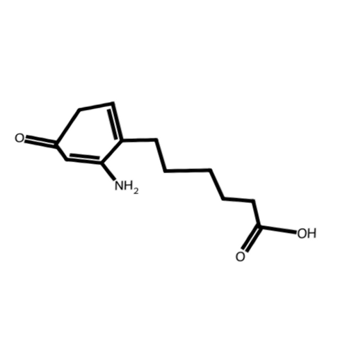 NC1=CC(=O)CC=C1CCCCCC(=O)O